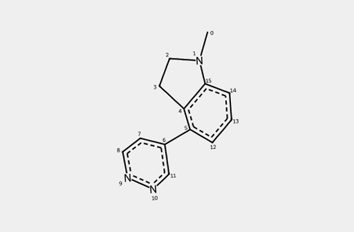 CN1CCc2c(-c3ccnnc3)cccc21